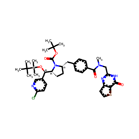 CN(Cc1nc2ccsc2c(=O)[nH]1)C(=O)c1ccc(C[C@@H]2CC[C@H]([C@H](O[Si](C)(C)C(C)(C)C)c3ccc(Cl)nc3)N2C(=O)OC(C)(C)C)cc1